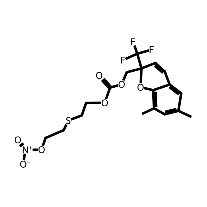 Cc1cc(C)c2c(c1)C=CC(COC(=O)OCCSCCO[N+](=O)[O-])(C(F)(F)F)O2